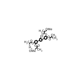 C=C(C)C(=O)Oc1ccc(-c2ccc(-c3ccc(OC(=O)C(=C)C)c(OC(=O)C(=C)COC)c3)c(CC)c2)cc1OC(=O)C(=C)COC